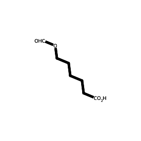 O=COCCCCCC(=O)O